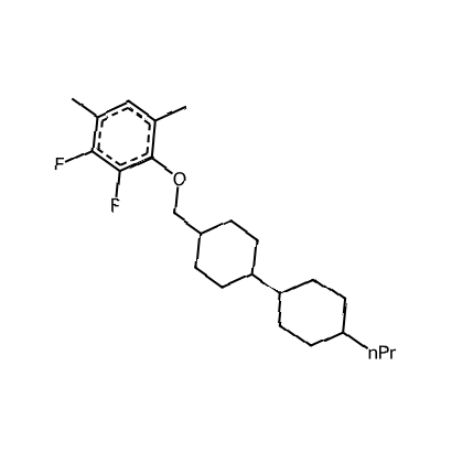 CCCC1CCC(C2CCC(COc3c(C)cc(C)c(F)c3F)CC2)CC1